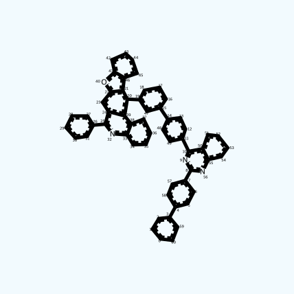 c1ccc(-c2ccc(-c3nc(-c4ccc(-c5cccc(-c6c7c(cc8c(-c9ccccc9)nc9ccccc9c68)oc6ccccc67)c5)cc4)c4ccccc4n3)cc2)cc1